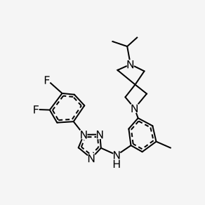 Cc1cc(Nc2ncn(-c3ccc(F)c(F)c3)n2)cc(N2CC3(C2)CN(C(C)C)C3)c1